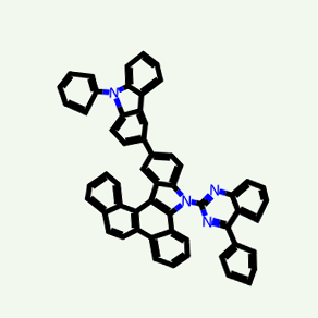 c1ccc(-c2nc(-n3c4ccc(-c5ccc6c(c5)c5ccccc5n6-c5ccccc5)cc4c4c5c6ccccc6ccc5c5ccccc5c43)nc3ccccc23)cc1